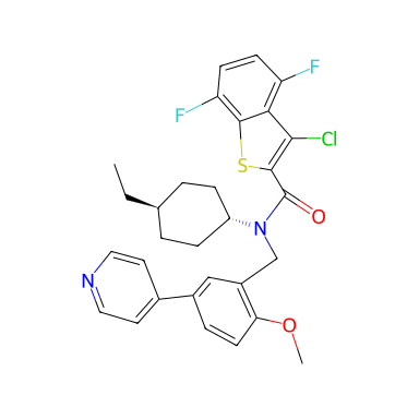 CC[C@H]1CC[C@H](N(Cc2cc(-c3ccncc3)ccc2OC)C(=O)c2sc3c(F)ccc(F)c3c2Cl)CC1